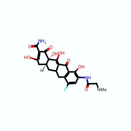 CNCC(=O)Nc1cc(F)c2c(c1O)C(=O)C1=C(O)[C@]3(O)C(=O)C(C(N)=O)=C(O)C[C@@H]3CC1C2